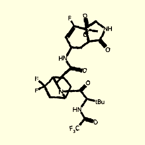 CC(C)(C)C(NC(=O)C(F)(F)F)C(=O)N1C2CCC(C1C(=O)NC(C=C(F)S(C)(=O)=O)CC1CCNC1=O)C(F)(F)C2